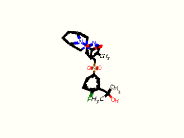 Cc1ccc(N2C3CCC2CN(C(=O)CCS(=O)(=O)c2ccc(F)c(C(C)(C)O)c2)C3)nc1